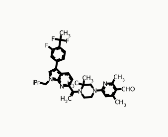 C=C(c1ccc2c(-c3ccc(C(C)(F)F)c(F)c3)cn(CC(C)C)c2n1)N1CCN(c2cc(C)c(C=O)c(C)n2)CC1(C)C